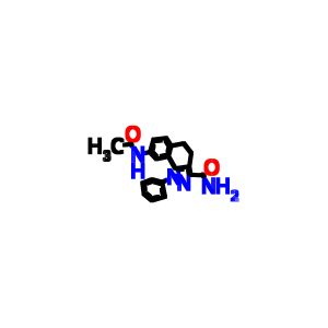 CC(=O)Nc1ccc2c(c1)-c1c(c(C(N)=O)nn1-c1ccccc1)CC2